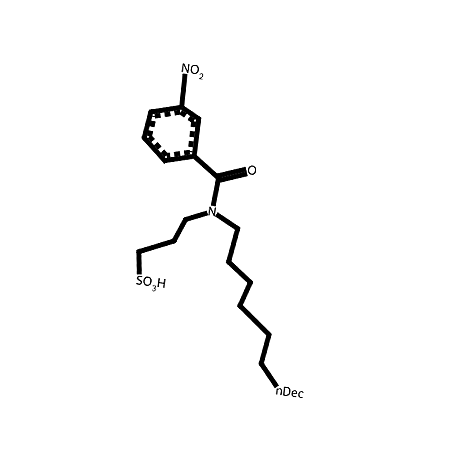 CCCCCCCCCCCCCCCCN(CCCS(=O)(=O)O)C(=O)c1[c]ccc([N+](=O)[O-])c1